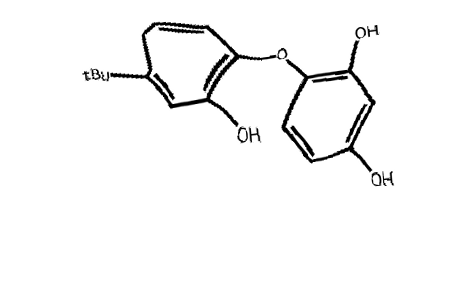 CC(C)(C)c1ccc(Oc2ccc(O)cc2O)c(O)c1